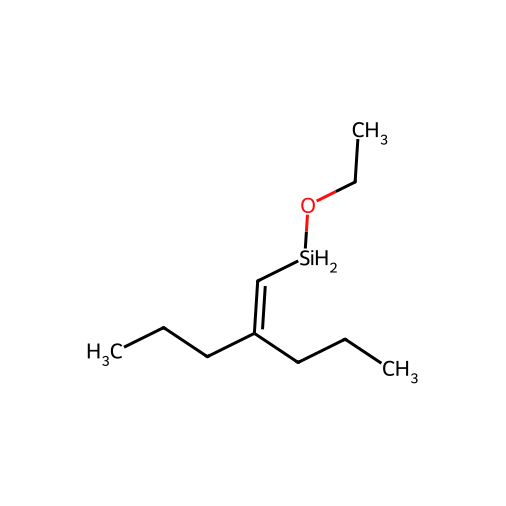 CCCC(=C[SiH2]OCC)CCC